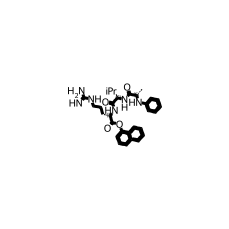 CC(C)[C@H](NC(=O)[C@H](C)Nc1ccccc1)C(=O)N[C@@H](CCCNC(=N)N)C(=O)Oc1cccc2ccccc12